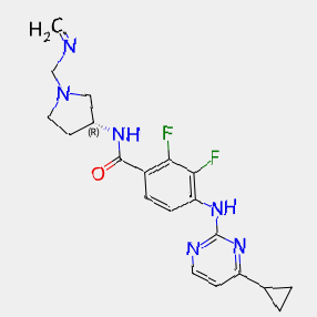 C=NCN1CC[C@@H](NC(=O)c2ccc(Nc3nccc(C4CC4)n3)c(F)c2F)C1